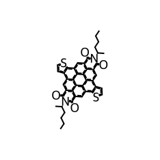 CCCCC(C)n1c(=O)c2cc3c4ccsc4c4cc5c(=O)n(C(C)CCCC)c(=O)c6cc7c8ccsc8c8cc(c1=O)c2c1c3c4c(c65)c7c81